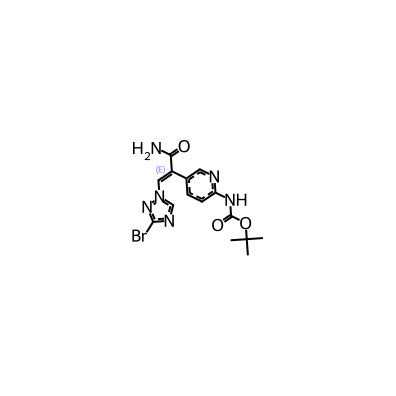 CC(C)(C)OC(=O)Nc1ccc(/C(=C\n2cnc(Br)n2)C(N)=O)cn1